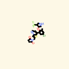 Cc1cc(Cl)cc(-c2ccnc3cc(CN4C(=O)CCC4=O)sc23)c1O[C@@H]1CNCC1C(F)F